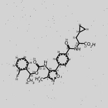 Cc1noc(-c2ccc(C(=O)NC(CC3CC3)C(=O)O)cc2)c1NC(=O)OC(C)c1ccccc1F